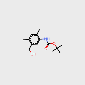 Cc1cc(C)c(NC(=O)OC(C)(C)C)cc1CO